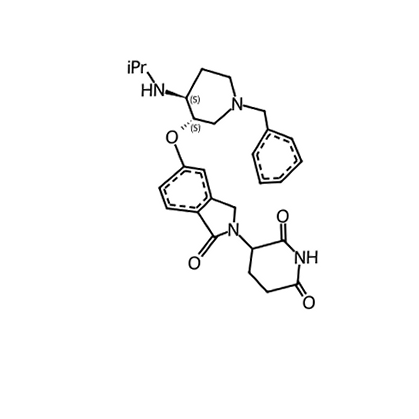 CC(C)N[C@H]1CCN(Cc2ccccc2)C[C@@H]1Oc1ccc2c(c1)CN(C1CCC(=O)NC1=O)C2=O